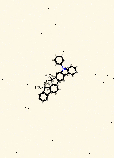 CC1(C)c2ccccc2-c2ccc3c(c21)C(C)(C)c1cc2c(cc1-3)c1ccccc1n2-c1ccccc1